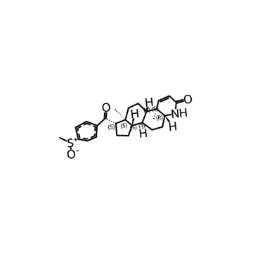 C[S+]([O-])c1ccc(C(=O)[C@H]2CC[C@H]3[C@@H]4CC[C@H]5NC(=O)C=C[C@]5(C)[C@H]4CC[C@]23C)cc1